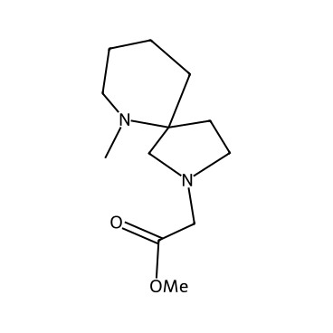 COC(=O)CN1CCC2(CCCCN2C)C1